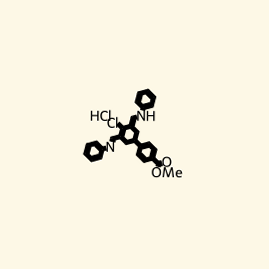 COC(=O)c1ccc(C2CC(=CNc3ccccc3)C(Cl)=C(C=Nc3ccccc3)C2)cc1.Cl